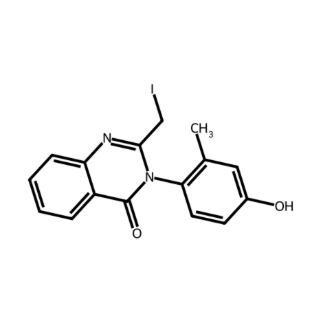 Cc1cc(O)ccc1-n1c(CI)nc2ccccc2c1=O